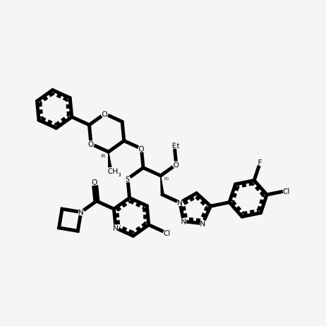 CCO[C@@H](Cn1cc(-c2ccc(Cl)c(F)c2)nn1)C(OC1COC(c2ccccc2)O[C@@H]1C)Sc1cc(Cl)cnc1C(=O)N1CCC1